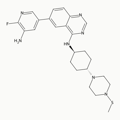 CSN1CCN([C@H]2CC[C@H](Nc3ncnc4ccc(-c5cnc(F)c(N)c5)cc34)CC2)CC1